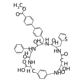 COC(=O)c1ccc(-c2ccc(C[C@@H]3NC(=O)[C@@H](Cc4cccs4)NC(=O)C[C@@H](O)C(=O)Nc4ccc(cc4)C[C@@H](C(=O)O)NC(=O)[C@@H](Cc4ccccc4)NC3=O)cc2)cc1